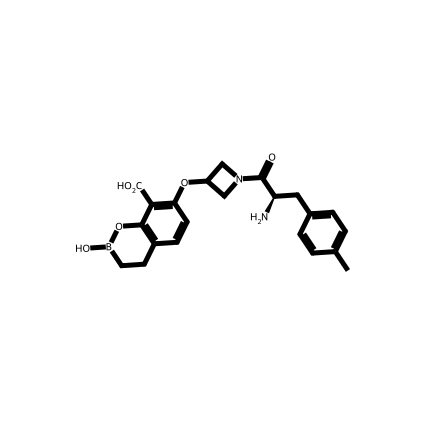 Cc1ccc(C[C@@H](N)C(=O)N2CC(Oc3ccc4c(c3C(=O)O)OB(O)CC4)C2)cc1